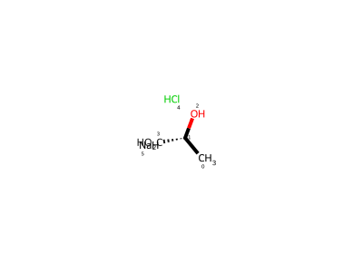 C[C@@H](O)C(=O)O.Cl.[NaH]